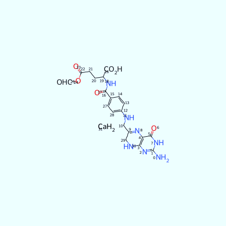 Nc1nc2c(c(=O)[nH]1)N=C(CNc1ccc(C(=O)NC(CCC(=O)OC=O)C(=O)O)cc1)CN2.[CaH2]